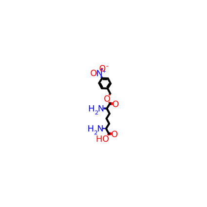 NC(CCC[C@H](N)C(=O)O)C(=O)OCc1ccc([N+](=O)[O-])cc1